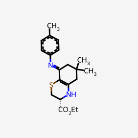 CCOC(=O)[C@@H]1CSC2=C(CC(C)(C)C/C2=N\c2ccc(C)cc2)N1